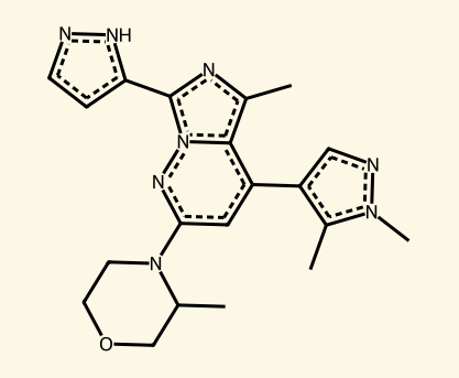 Cc1nc(-c2ccn[nH]2)n2nc(N3CCOCC3C)cc(-c3cnn(C)c3C)c12